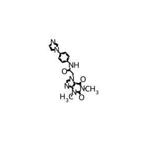 Cn1c(=O)c2c(ncn2CC(=O)Nc2ccc(-n3ccnc3)cc2)n(C)c1=O